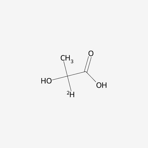 [2H]C(C)(O)C(=O)O